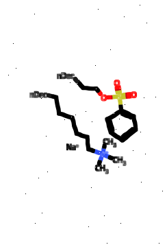 CCCCCCCCCCCCCCCC[N+](C)(C)C.CCCCCCCCCCCCOS(=O)(=O)c1ccccc1.[Na+]